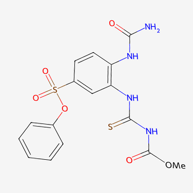 COC(=O)NC(=S)Nc1cc(S(=O)(=O)Oc2ccccc2)ccc1NC(N)=O